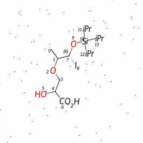 CC(OCC(O)C(=O)O)[C@@H](I)O[Si](C(C)C)(C(C)C)C(C)C